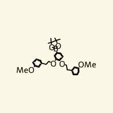 COc1cccc(CCOc2ccc(B3OC(C)(C)C(C)(C)O3)cc2OCCc2cccc(OC)c2)c1